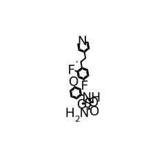 NC(=O)S(=O)(=O)Nc1cccc(Oc2c(F)ccc([CH]Cc3ccncc3)c2F)c1